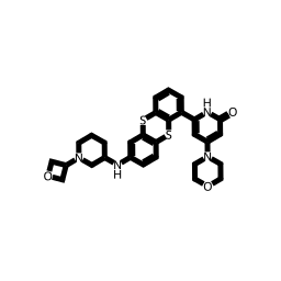 O=c1cc(N2CCOCC2)cc(-c2cccc3c2Sc2ccc(NC4CCCN(C5COC5)C4)cc2S3)[nH]1